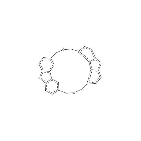 c1cc2sc3ccc4cc3c2cc1COCc1ccc2sc3ccc(cc3c2c1)COC4